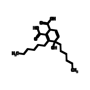 CCCCCCC1=C(C(=O)O)C(C(=O)O)C=CC1(O)CCCCCC